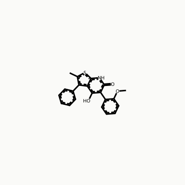 COc1ccccc1-c1c(O)c2c(-c3ccccc3)c(C)sc2[nH]c1=O